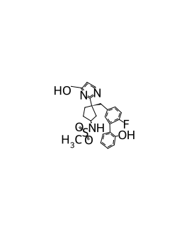 CS(=O)(=O)N[C@H]1CC[C@](Cc2ccc(F)c(-c3ccccc3O)c2)(c2nccc(CO)n2)C1